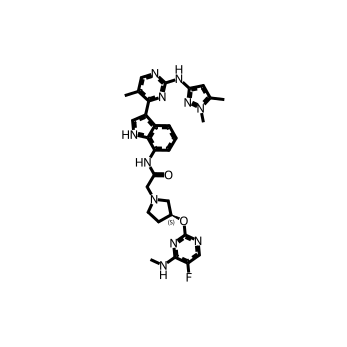 CNc1nc(O[C@H]2CCN(CC(=O)Nc3cccc4c(-c5nc(Nc6cc(C)n(C)n6)ncc5C)c[nH]c34)C2)ncc1F